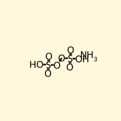 N.O=S(=O)(O)OOS(=O)(=O)O